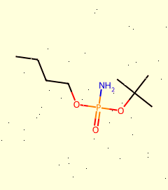 CCCCOP(N)(=O)OC(C)(C)C